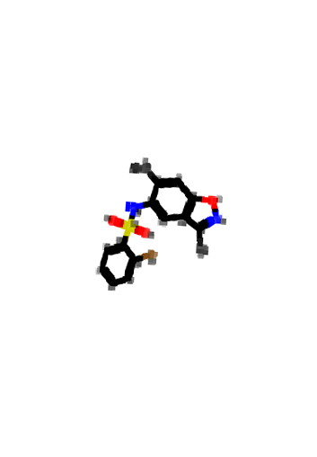 CCc1noc2cc(OC)c(NS(=O)(=O)c3ccccc3Br)cc12